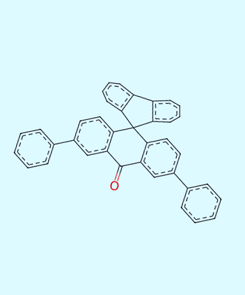 O=C1c2cc(-c3ccccc3)ccc2C2(c3ccc(-c4ccccc4)cc31)c1ccccc1-c1ccccc12